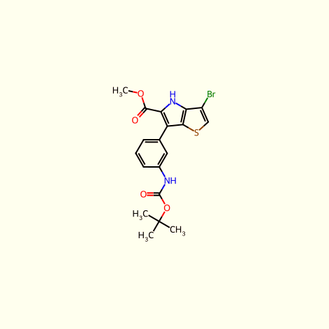 COC(=O)c1[nH]c2c(Br)csc2c1-c1cccc(NC(=O)OC(C)(C)C)c1